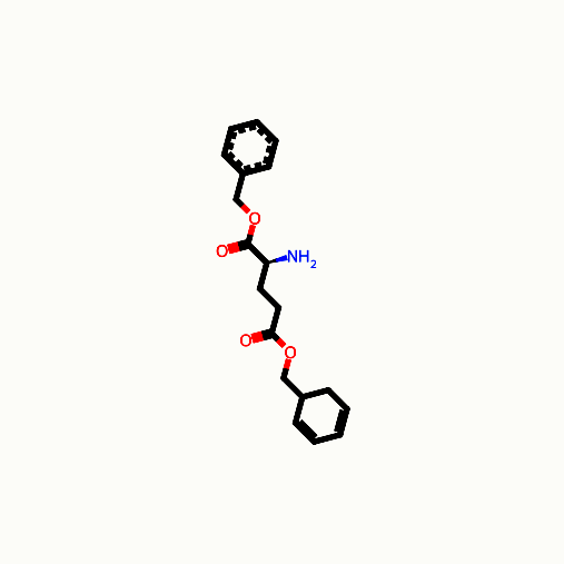 N[C@@H](CCC(=O)OCC1C=CC=CC1)C(=O)OCc1ccccc1